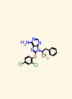 Nc1ncnc2c1nc(Sc1ccc(Cl)cc1Cl)n2C(Cc1ccccc1)C(F)(F)F